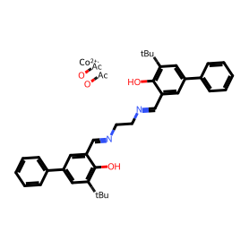 CC(=O)[O-].CC(=O)[O-].CC(C)(C)c1cc(-c2ccccc2)cc(C=NCCN=Cc2cc(-c3ccccc3)cc(C(C)(C)C)c2O)c1O.[Co+2]